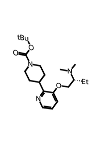 CC[C@H](COc1cccnc1C1CCN(C(=O)OC(C)(C)C)CC1)N(C)C